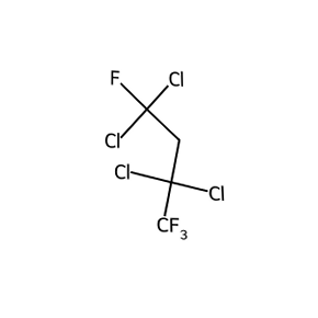 FC(Cl)(Cl)CC(Cl)(Cl)C(F)(F)F